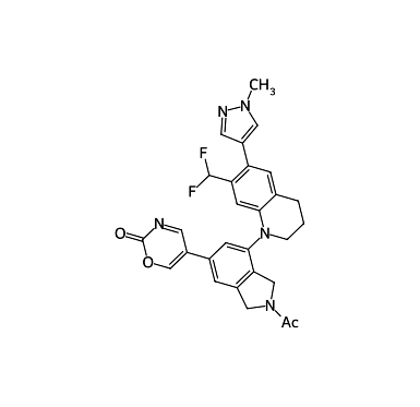 CC(=O)N1Cc2cc(-c3cnc(=O)oc3)cc(N3CCCc4cc(-c5cnn(C)c5)c(C(F)F)cc43)c2C1